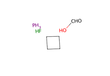 C1CCC1.F.O=CO.P